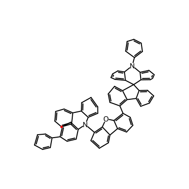 c1ccc(-c2ccc(N(c3ccccc3-c3ccccc3)c3cccc4c3oc3c(-c5cccc6c5-c5ccccc5C65c6ccccc6N(c6ccccc6)c6ccccc65)cccc34)cc2)cc1